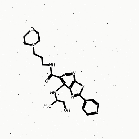 CC(CO)Nc1c(C(=O)NCCCN2CCOCC2)cnc2sc(-c3ccccc3)nc12